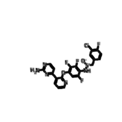 Nc1nccc(-c2cccnc2Oc2cc(F)c(N[S+]([O-])Cc3ccc(F)c(Cl)c3)c(F)c2F)n1